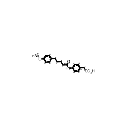 CCCCOc1ccc(CCCCC(=O)Nc2ccc(CC(=O)O)cc2)cc1